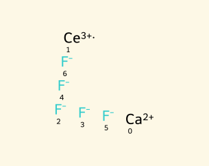 [Ca+2].[Ce+3].[F-].[F-].[F-].[F-].[F-]